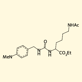 CCOC(=O)C(CCCCNC(C)=O)NC(=O)NCc1ccc(NC)cc1